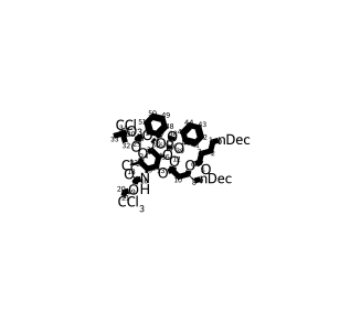 CCCCCCCCCCCCCC(=O)O[C@H](CCCCCCCCCCC)CC(=O)O[C@@H]1[C@@H](NC(=O)OCC(Cl)(Cl)Cl)[C@@H](Cl)O[C@H](COC(=O)OC(C)(C)C(Cl)(Cl)Cl)[C@H]1OP(=O)(Oc1ccccc1)Oc1ccccc1